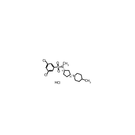 CC1CCN([C@@H]2CC[C@H](N(C)S(=O)(=O)c3cc(Cl)cc(Cl)c3)C2)CC1.Cl